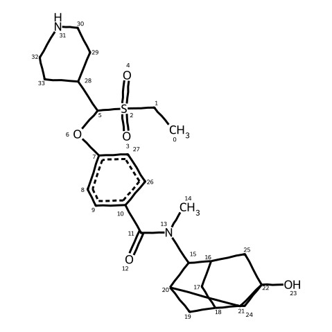 CCS(=O)(=O)C(Oc1ccc(C(=O)N(C)C2C3CC4CC2CC(O)(C4)C3)cc1)C1CCNCC1